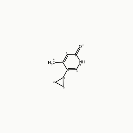 Cc1cc(=O)[nH]cc1C1CC1